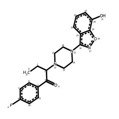 CCC(C(=O)c1ccc(F)cc1)N1CCN(c2noc3c(O)cccc23)CC1